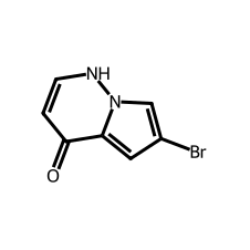 O=c1cc[nH]n2cc(Br)cc12